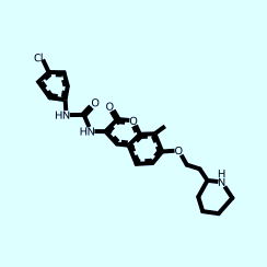 Cc1c(OCCC2CCCCN2)ccc2cc(NC(=O)Nc3ccc(Cl)cc3)c(=O)oc12